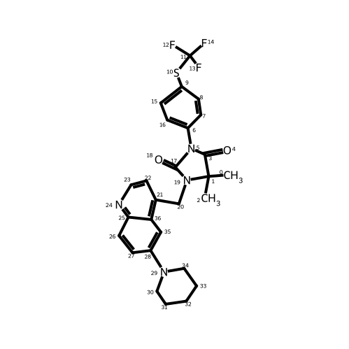 CC1(C)C(=O)N(c2ccc(SC(F)(F)F)cc2)C(=O)N1Cc1ccnc2ccc(N3CCCCC3)cc12